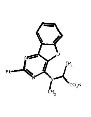 CCc1nc(N(C)C(C)C(=O)O)c2oc3ccccc3c2n1